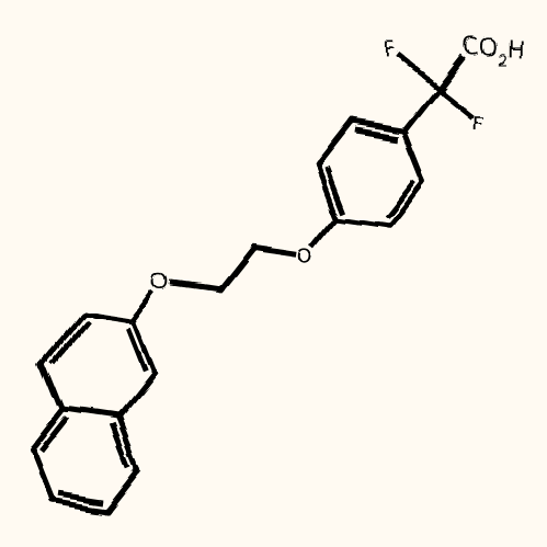 O=C(O)C(F)(F)c1ccc(OCCOc2ccc3ccccc3c2)cc1